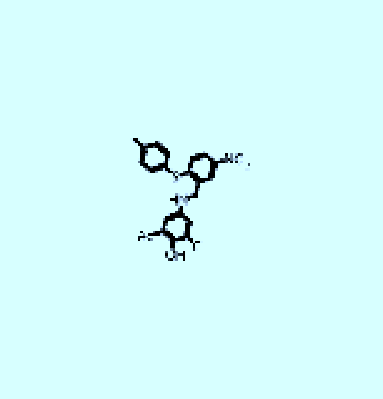 CC(=O)c1cc(NCc2cc([N+](=O)[O-])ccc2Sc2ccc(C)cc2)cc(Cl)c1O